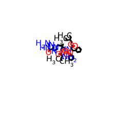 CCC(CC)COC(=O)C(Cc1ccccc1)N[P@](=O)(OCC1(COC(=O)C(N)C(C)C)C/C1=C/n1cnc2c(=O)[nH]c(N)nc21)Oc1ccccc1